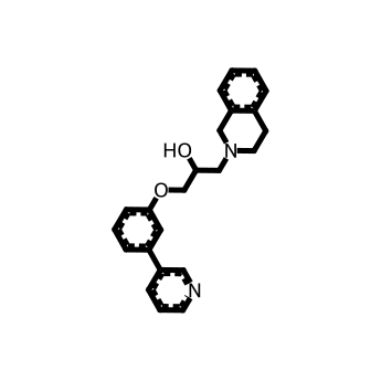 OC(COc1cccc(-c2cccnc2)c1)CN1CCc2ccccc2C1